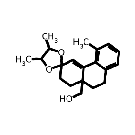 Cc1cccc2c1C1=CC3(CCC1(CO)CC2)OC(C)C(C)O3